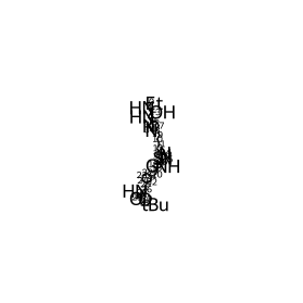 CCNC(O)Nc1ccc(CCCCc2nnc(NC(=O)Cc3cccc(CNC(=O)OC(C)(C)C)c3)s2)nn1